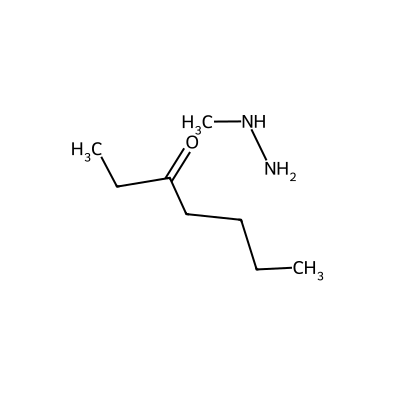 CCCCC(=O)CC.CNN